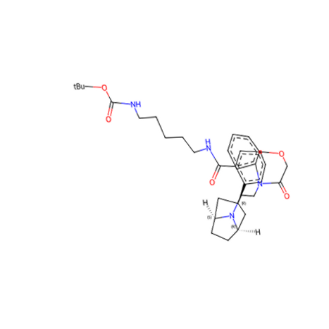 CC(C)(C)OC(=O)NCCCCCNC(=O)c1ccccc1[C@H]1C[C@H]2CC[C@@H](C1)N2CCN1C(=O)COc2ccccc21